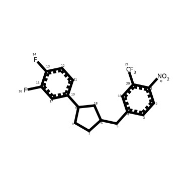 O=[N+]([O-])c1ccc(CC2CCC(c3ccc(F)c(F)c3)C2)cc1C(F)(F)F